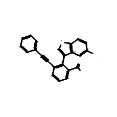 O=C(O)c1cccc(C#Cc2ccccc2)c1-c1c[nH]c2ccc(F)cc12